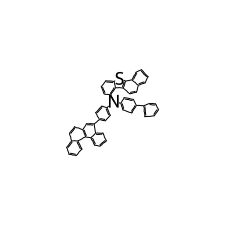 c1ccc(-c2ccc(N(c3ccc(-c4cc5ccc6ccccc6c5c5ccccc45)cc3)c3cccc4sc5c6ccccc6ccc5c34)cc2)cc1